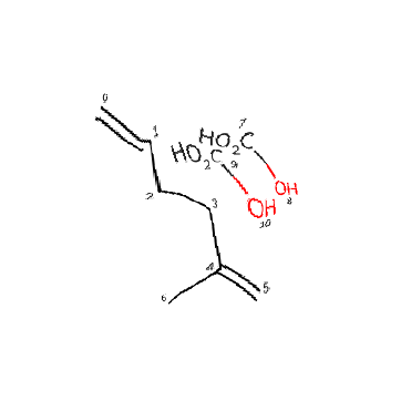 C=CCCC(=C)C.O=C(O)O.O=C(O)O